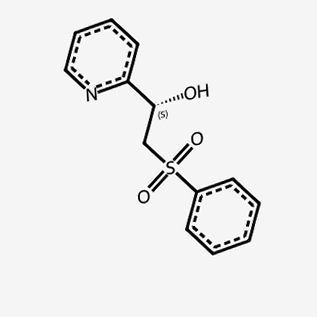 O=S(=O)(C[C@@H](O)c1ccccn1)c1ccccc1